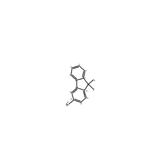 CC1(C)c2ccccc2-c2cc(Br)ccc21